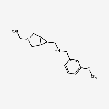 CC(C)(C)CN1CC2C(CNCc3cccc(OC(F)(F)F)c3)C2C1